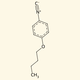 [C-]#[N+]c1ccc(OCCCC)cc1